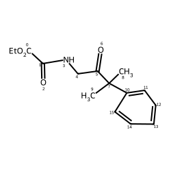 CCOC(=O)C(=O)NCC(=O)C(C)(C)c1ccccc1